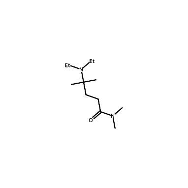 CCN(CC)C(C)(C)CCC(=O)N(C)C